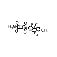 Cc1ccc(-c2ccc(N3C(=O)C4C5C(=O)N(C)C(=O)C5C4C3=O)cc2C(F)(F)F)c(C(F)(F)F)c1